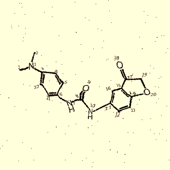 CN(C)c1ccc(NC(=O)Nc2ccc3c(c2)C(=O)CO3)cc1